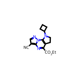 CCOC(=O)c1nc2c(C#N)cnn2c2c1CCN2C1CCC1